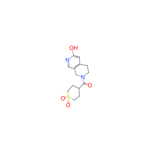 O=C(C1CCS(=O)(=O)CC1)N1CCc2cc(O)ncc2C1